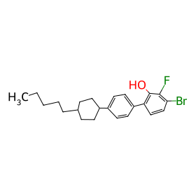 CCCCCC1CCC(c2ccc(-c3ccc(Br)c(F)c3O)cc2)CC1